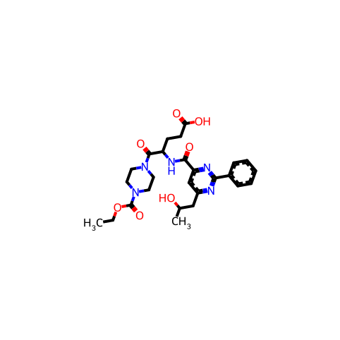 CCOC(=O)N1CCN(C(=O)C(CCC(=O)O)NC(=O)c2cc(CC(C)O)nc(-c3ccccc3)n2)CC1